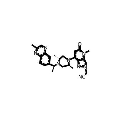 Cc1cnc2cc([C@H](C)N3C[C@H](C)N(c4cc(=O)n(C)c5cn(CC#N)nc45)C[C@H]3C)ccc2n1